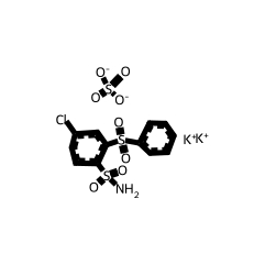 NS(=O)(=O)c1ccc(Cl)cc1S(=O)(=O)c1ccccc1.O=S(=O)([O-])[O-].[K+].[K+]